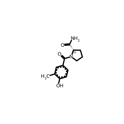 Cc1cc(C(=O)N2CCC[C@H]2C(N)=O)ccc1O